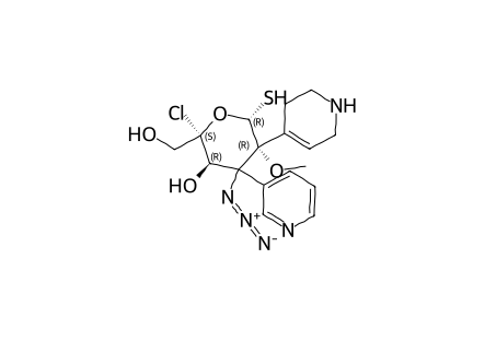 CO[C@@]1(C2=CCNCC2)[C@@H](S)O[C@](Cl)(CO)[C@H](O)C1(N=[N+]=[N-])c1cccnc1